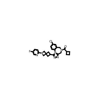 O=C(C1CCC1)N1Cc2cc(Cl)ccc2-n2c(nnc2C2CC3(C2)CN(c2ccc(F)cn2)C3)C1